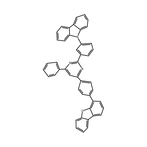 c1ccc(-c2cc(-c3ccc(-c4cccc5c4oc4ccccc45)cc3)nc(-c3cccc(-n4c5ccccc5c5ccccc54)c3)n2)cc1